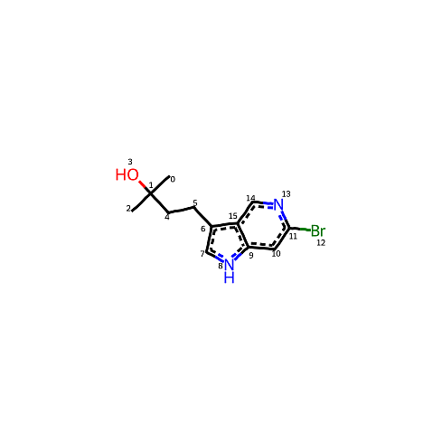 CC(C)(O)CCc1c[nH]c2cc(Br)ncc12